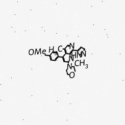 COCc1ccc(-c2cc(N3CCOCC3C)nc3c(-c4ccn[nH]4)ncc(C)c23)cc1